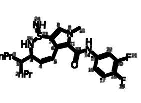 CCCC(CCC)C1C=Cc2c(cn(C)c2C(=O)Nc2ccc(F)c(F)c2)S(=N)N1